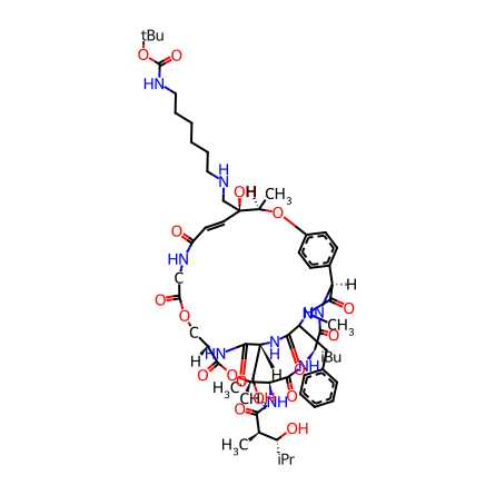 CC[C@H](C)[C@H]1NC(=O)[C@@H](NC(=O)[C@H](C)[C@H](O)C(C)C)[C@@H](C)OC(=O)[C@@H]2COC(=O)CNC(=O)/C=C/[C@](O)(CNCCCCCCNC(=O)OC(C)(C)C)[C@@H](C)Oc3ccc(cc3)[C@H](NC1=O)C(=O)N(C)C(Cc1ccccc1)C(=O)N[C@H]([C@@H](C)O)C(=O)N2